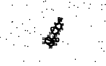 O=C(C1=Cc2ccc(Br)cc2OC1)C12CC3CC(CC(C3)C1)C2